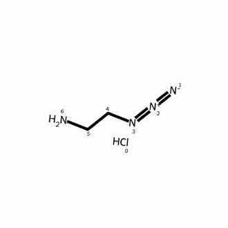 Cl.[N-]=[N+]=NCCN